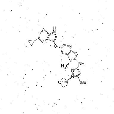 Cn1c(Nc2cc(C(C)(C)C)n([C@H]3CCOC3)n2)nc2ncc(Oc3c[nH]c4ncc(C5CC5)cc34)cc21